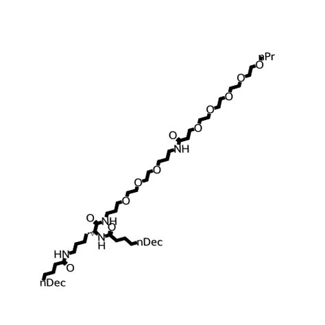 CCCCCCCCCCCCCC(=O)NCCCC[C@@H](NC(=O)CCCCCCCCCCCCC)C(=O)NCCCOCCOCCOCCCNC(=O)CCOCCOCCOCCOCCOCCC